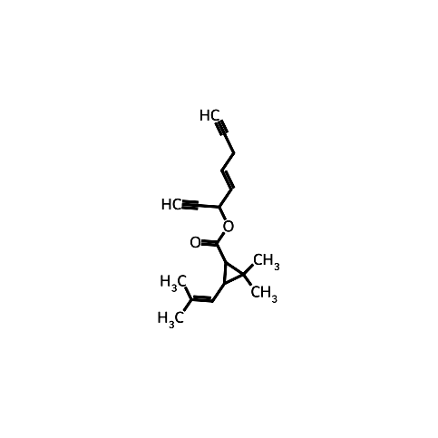 C#CCC=CC(C#C)OC(=O)C1C(C=C(C)C)C1(C)C